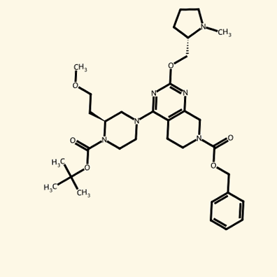 COCC[C@H]1CN(c2nc(OC[C@@H]3CCCN3C)nc3c2CCN(C(=O)OCc2ccccc2)C3)CCN1C(=O)OC(C)(C)C